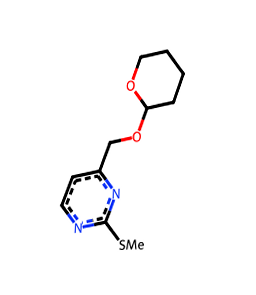 CSc1nccc(COC2CCCCO2)n1